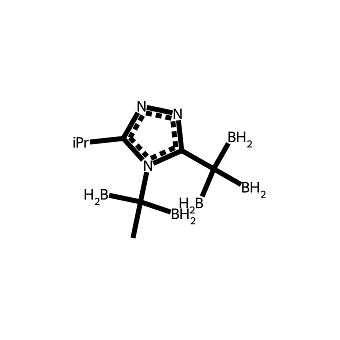 BC(B)(B)c1nnc(C(C)C)n1C(B)(B)C